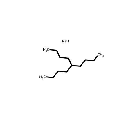 CCCC[C](CCCC)CCCC.[NaH]